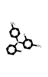 Cc1ccc(N(c2ccccc2F)c2ccc(C)cc2F)cc1